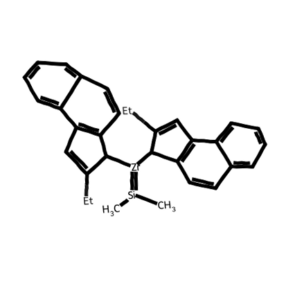 CCC1=Cc2c(ccc3ccccc23)[CH]1[Zr]([CH]1C(CC)=Cc2c1ccc1ccccc21)=[Si](C)C